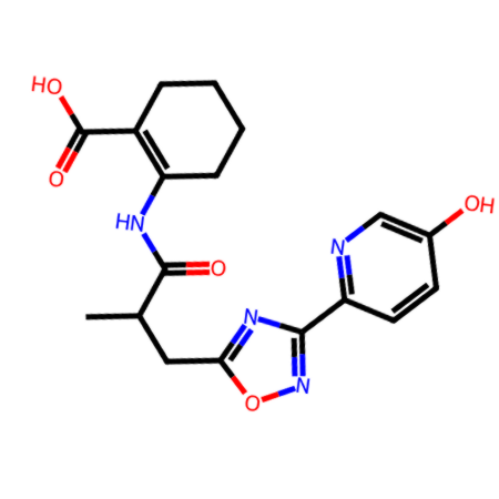 CC(Cc1nc(-c2ccc(O)cn2)no1)C(=O)NC1=C(C(=O)O)CCCC1